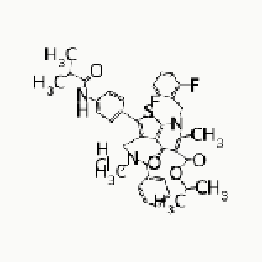 Cc1c(C(=O)OC(C)C)c(=O)c2c(CN(C)Cc3ccccc3)c(-c3ccc(NC(=O)C(C)C)cc3)sc2n1Cc1c(F)cccc1F.Cl